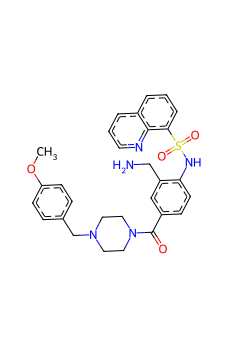 COc1ccc(CN2CCN(C(=O)c3ccc(NS(=O)(=O)c4cccc5cccnc45)c(CN)c3)CC2)cc1